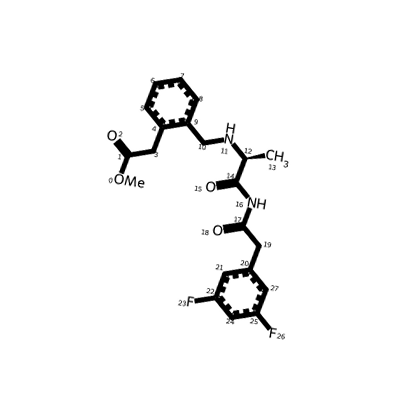 COC(=O)Cc1ccccc1CN[C@@H](C)C(=O)NC(=O)Cc1cc(F)cc(F)c1